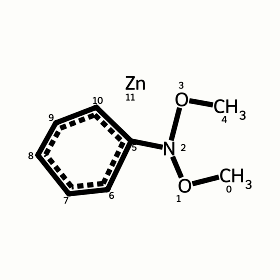 CON(OC)c1ccccc1.[Zn]